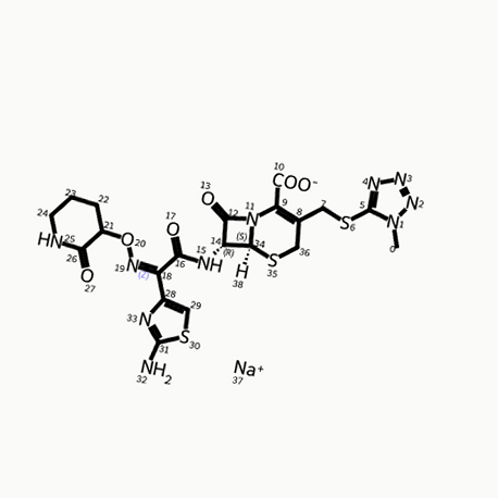 Cn1nnnc1SCC1=C(C(=O)[O-])N2C(=O)[C@@H](NC(=O)/C(=N\OC3CCCNC3=O)c3csc(N)n3)[C@@H]2SC1.[Na+]